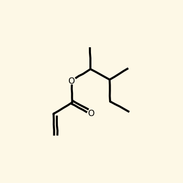 C=CC(=O)OC(C)C(C)CC